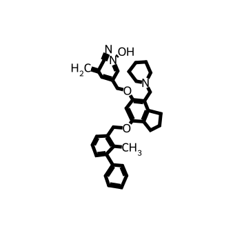 C=C(C#N)/C=C(\C=N\O)COc1cc(OCc2cccc(-c3ccccc3)c2C)c2c(c1CN1CCCCC1)CCC2